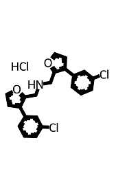 Cl.Clc1cccc(-c2ccoc2CNCc2occc2-c2cccc(Cl)c2)c1